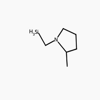 CC1CCCN1C[SiH3]